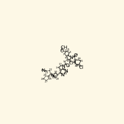 COc1ccc2c(c1)c(CC(=O)n1ccc3c(-c4cnn([C@H](CC#N)C5CCCC5)c4)ncnc31)c(C)n2C(=O)c1ccc(Cl)cc1